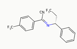 N#C/C(=N\[C@H](CC(F)(F)F)c1ccccc1)c1ccc(C(F)(F)F)cc1